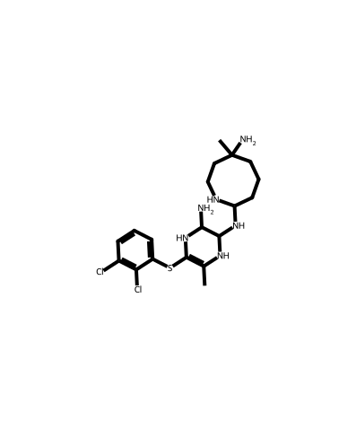 CC1=C(Sc2cccc(Cl)c2Cl)NC(N)C(NC2CCCC(C)(N)CCN2)N1